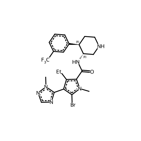 CCc1c(-c2ncnn2C)c(Br)n(C)c1C(=O)N[C@H]1CNCC[C@@H]1c1cccc(C(F)(F)F)c1